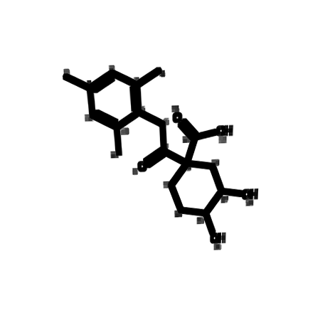 Cc1cc(C)c(CC(=O)C2(C(=O)O)CCC(O)C(O)C2)c(C)c1